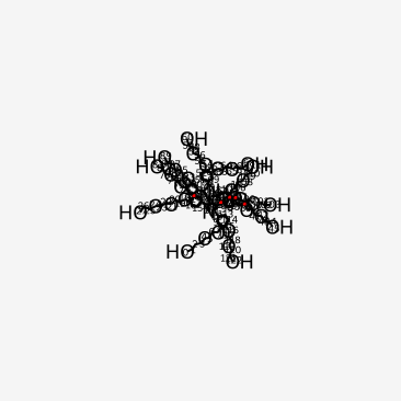 OCCCOCCOc1cc(-c2nc(-c3ccc(OCCOCCOCCO)cc3)n(C3(c4ccc(OCCOCCOCCO)cc4)N=C(c4ccc(OCCOCCO)c(OCCOCCO)c4)C(c4ccc(OCCOCCO)c(OCCOCCO)c4)=N3)c2-c2ccc(OCCOCCO)c(OCCOCCO)c2)ccc1OCCOCCO